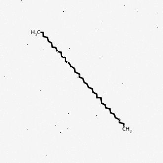 CCCCCCCCCCCCCCCCCC[CH]CCCCCCCCCCCCCCCCCCCC